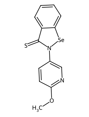 COc1ccc(-n2[se]c3ccccc3c2=S)cn1